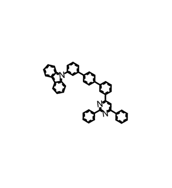 c1ccc(-c2cc(-c3cccc(-c4ccc(-c5cccc(-n6c7ccccc7c7ccccc76)c5)cc4)c3)nc(-c3ccccc3)n2)cc1